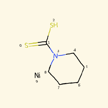 S=C(S)N1CCCCC1.[Ni]